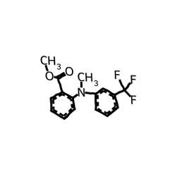 COC(=O)c1ccccc1N(C)c1cccc(C(F)(F)F)c1